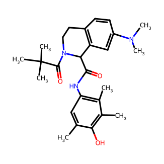 Cc1cc(NC(=O)C2c3cc(N(C)C)ccc3CCN2C(=O)C(C)(C)C)c(C)c(C)c1O